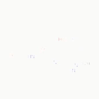 C=C/C=C(\C=C/Cc1c(-c2nc(CC(=O)NCC3CCOCC3)cs2)cnn1C(C)(C)C)CO